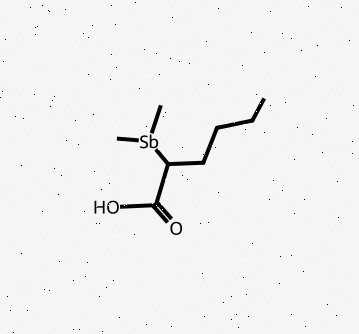 CCCC[CH](C(=O)O)[Sb]([CH3])[CH3]